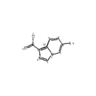 O=C(Cl)c1ncn2cc(I)ccc12